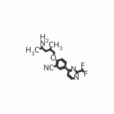 CC(N)CC(C)COc1ccc(-c2ccnc(C(F)F)n2)cc1C#N